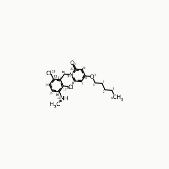 CCCCCOc1ccn(Cc2c(Cl)ccc(NC)c2Cl)c(=O)c1